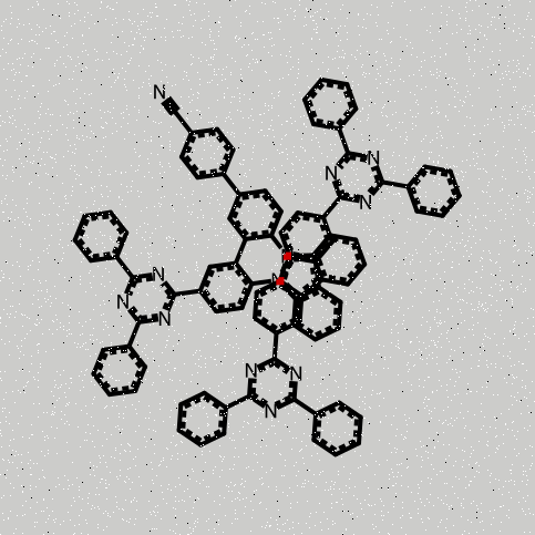 N#Cc1ccc(-c2ccc(-n3c4ccccc4c4cc(-c5nc(-c6ccccc6)nc(-c6ccccc6)n5)ccc43)c(-c3cc(-c4nc(-c5ccccc5)nc(-c5ccccc5)n4)ccc3-n3c4ccccc4c4cc(-c5nc(-c6ccccc6)nc(-c6ccccc6)n5)ccc43)c2)cc1